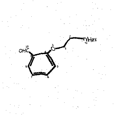 CCCCCCCCOc1ccccc1C=O